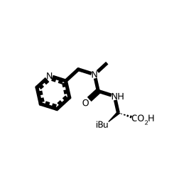 CC[C@H](C)[C@H](NC(=O)N(C)Cc1ccccn1)C(=O)O